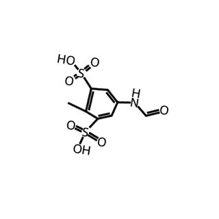 Cc1c(S(=O)(=O)O)cc(NC=O)cc1S(=O)(=O)O